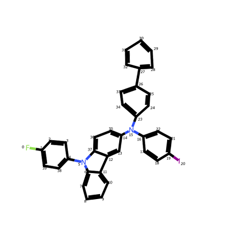 Fc1ccc(-n2c3ccccc3c3cc(N(c4ccc(I)cc4)c4ccc(-c5ccccc5)cc4)ccc32)cc1